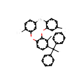 Cc1c(C(C)(c2ccccc2)c2ccccc2)ccc(Oc2cc(C(C)(C)C)ccc2C(C)(C)C)c1Oc1cc(C(C)(C)C)ccc1C(C)(C)C